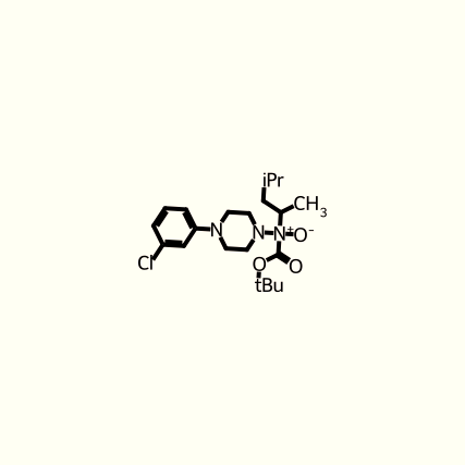 CC(C)CC(C)[N+]([O-])(C(=O)OC(C)(C)C)N1CCN(c2cccc(Cl)c2)CC1